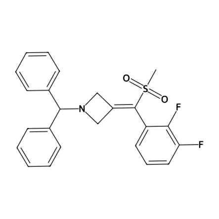 CS(=O)(=O)C(=C1CN(C(c2ccccc2)c2ccccc2)C1)c1cccc(F)c1F